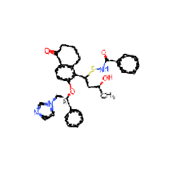 CC(O)CC(SNC(=O)c1ccccc1)c1c(O[C@H](Cn2ccnc2)c2ccccc2)ccc2c1CCCC2=O